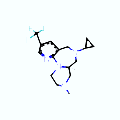 CN1CCN2c3ncc(C(F)(F)F)cc3CN(C3CC3)C[C@H]2C1